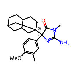 COc1ccc([C@]2([C@]34CCC5CCC(CC5C3)C4)N=C(N)N(C)C2=O)cc1C